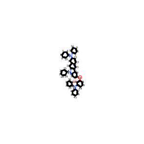 c1ccc(N(c2ccccc2)c2ccc3cc4c5cc6c(cc5n(-c5ccccc5)c4cc3c2)B2c3ccccc3N(c3ccccc3)c3cccc(c32)O6)cc1